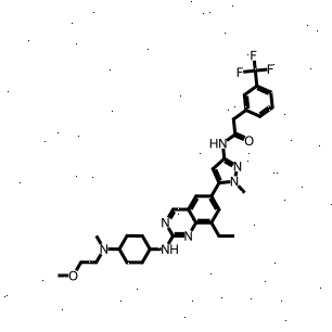 CCc1cc(-c2cc(NC(=O)Cc3cccc(C(F)(F)F)c3)nn2C)cc2cnc(NC3CCC(N(C)CCOC)CC3)nc12